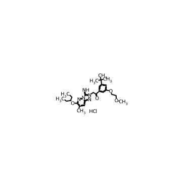 CCC(CC)Oc1nn2c(=N)n(CC(=O)c3cc(OCCOC)cc(C(C)(C)C)c3)nc2cc1C.Cl